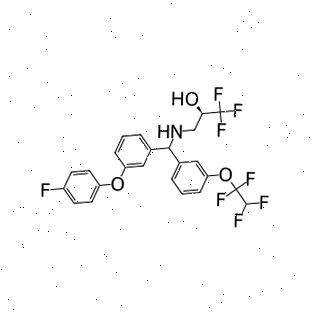 O[C@H](CNC(c1cccc(Oc2ccc(F)cc2)c1)c1cccc(OC(F)(F)C(F)F)c1)C(F)(F)F